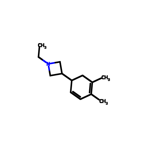 CCN1CC(C2C=CC(C)=C(C)C2)C1